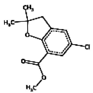 COC(=O)c1cc(Cl)cc2c1OC(C)(C)C2